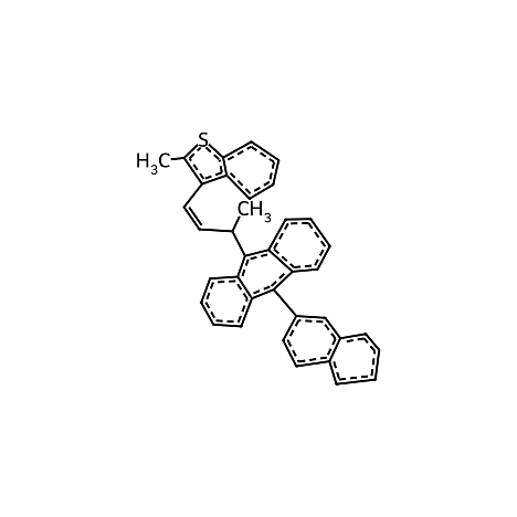 Cc1sc2ccccc2c1/C=C\C(C)c1c2ccccc2c(-c2ccc3ccccc3c2)c2ccccc12